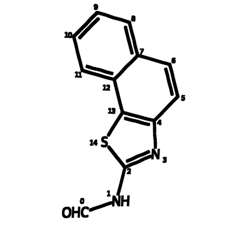 O=CNc1nc2ccc3ccccc3c2s1